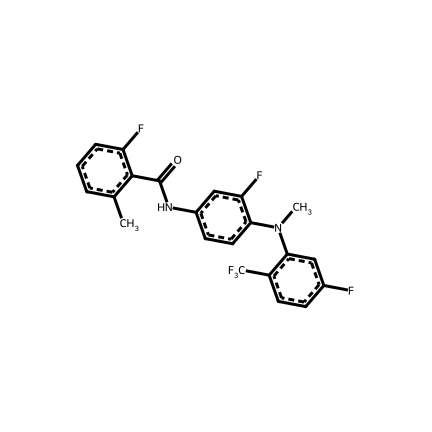 Cc1cccc(F)c1C(=O)Nc1ccc(N(C)c2cc(F)ccc2C(F)(F)F)c(F)c1